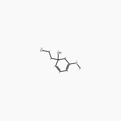 COC1=CC=CC(O)(CCCl)C1